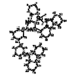 C[Si]1(C)c2ccccc2-c2nc(-c3cccc(-c4cccc(-n5c6ccccc6c6ccccc65)c4)c3)nc(-c3cccc4c3sc3ccccc34)c21